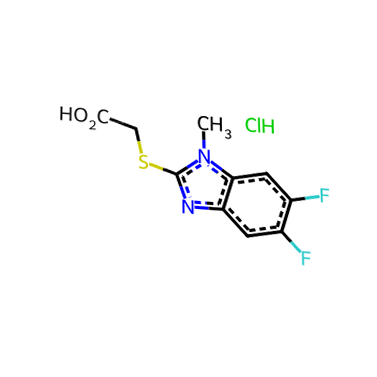 Cl.Cn1c(SCC(=O)O)nc2cc(F)c(F)cc21